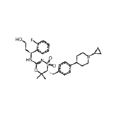 CC1(C)OC(N[C@@H](CCO)c2ccccc2F)=NS(=O)(=O)[C@@H]1Cc1ccc(C2CCN(C3CC3)CC2)cc1